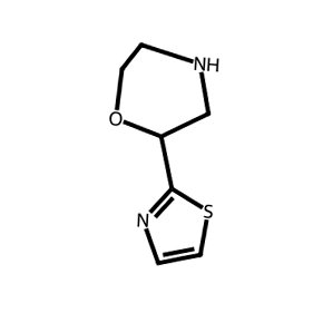 c1csc(C2CNCCO2)n1